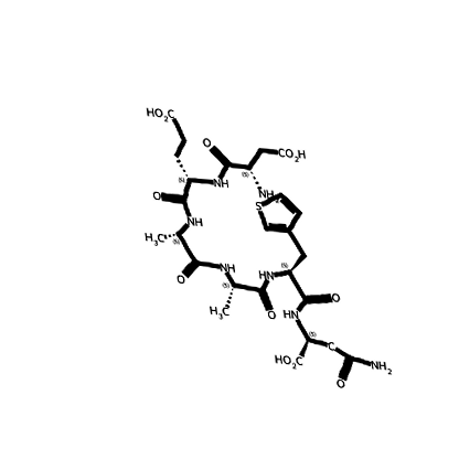 C[C@H](NC(=O)[C@H](C)NC(=O)[C@H](CCC(=O)O)NC(=O)[C@@H](N)CC(=O)O)C(=O)N[C@@H](Cc1ccsc1)C(=O)N[C@@H](CC(N)=O)C(=O)O